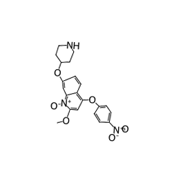 COc1cc(Oc2ccc([N+](=O)[O-])cc2)c2ccc(OC3CCNCC3)cc2[n+]1[O-]